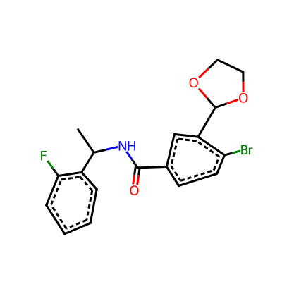 CC(NC(=O)c1ccc(Br)c(C2OCCO2)c1)c1ccccc1F